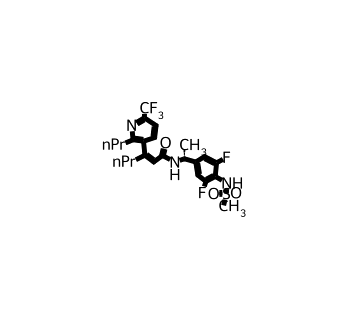 CCC/C(=C/C(=O)N[C@H](C)c1cc(F)c(NS(C)(=O)=O)c(F)c1)c1ccc(C(F)(F)F)nc1CCC